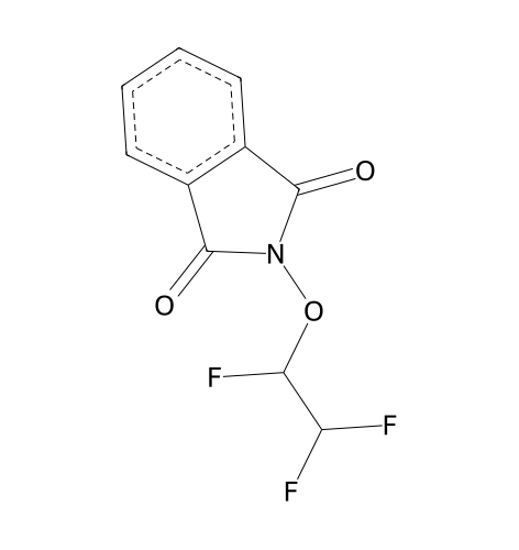 O=C1c2ccccc2C(=O)N1OC(F)C(F)F